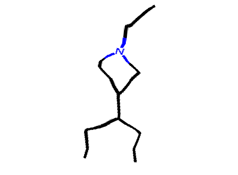 CCC(CC)C1CN(CC)C1